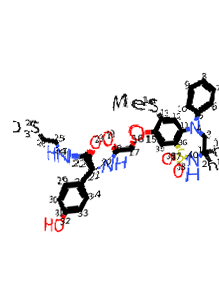 CCCCC1(CCCC)CN(c2ccccc2)c2cc(SC)c(OCC(=O)N[C@@H](C(=O)NCCS(=O)(=O)O)c3ccc(O)cc3)cc2S(=O)(=O)N1